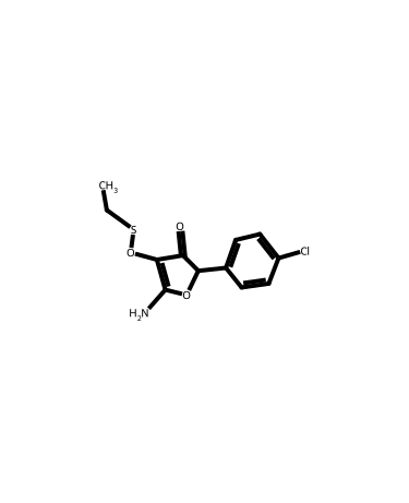 CCSOC1=C(N)OC(c2ccc(Cl)cc2)C1=O